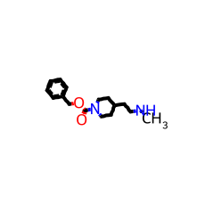 CNCCC1CCN(C(=O)OCc2ccccc2)CC1